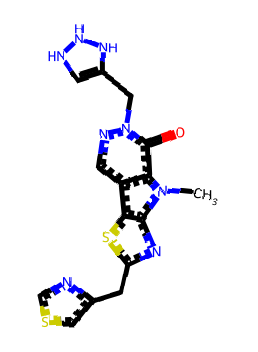 Cn1c2nc(Cc3cscn3)sc2c2cnn(CC3=CNNN3)c(=O)c21